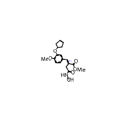 COC(=O)/C(=C/c1ccc(OC)c(OC2CCCC2)c1)CC(=O)NO